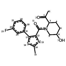 CC(=O)C1CCC(O)CN1C(=O)c1nc(C)sc1-c1cccc(F)c1